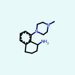 CN1CCN(c2cccc3c2C(N)CCC3)CC1